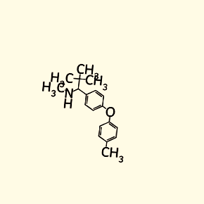 CNC(c1ccc(Oc2ccc(C)cc2)cc1)C(C)(C)C